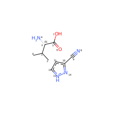 CC(C)[C@H](N)C(=O)O.N#Cc1cc[nH]n1